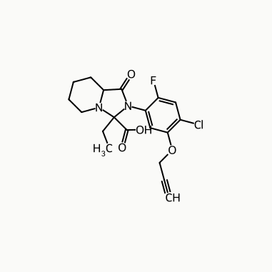 C#CCOc1cc(N2C(=O)C3CCCCN3C2(CC)C(=O)O)c(F)cc1Cl